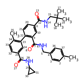 Cc1ccc(CNC(=O)c2cc(C(=O)NCC(C)(C)C)ccc2-c2cc(C(=O)NC3CC3)ccc2C)cc1